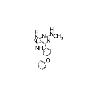 CNc1nc(-c2ccc(Oc3ccccc3)cc2)c2c(N)n[nH]c2n1